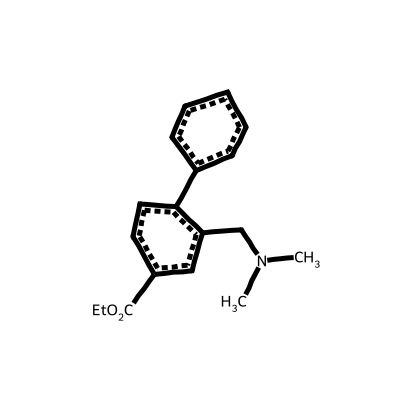 CCOC(=O)c1ccc(-c2ccccc2)c(CN(C)C)c1